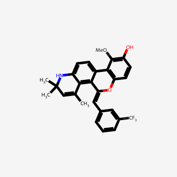 COc1c(O)ccc2c1-c1ccc3c(c1/C(=C/c1cccc(C(F)(F)F)c1)O2)C(C)=CC(C)(C)N3